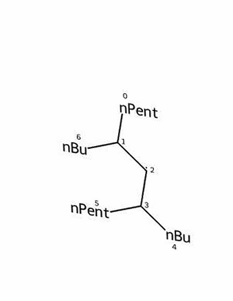 CCCCCC([CH]C(CCCC)CCCCC)CCCC